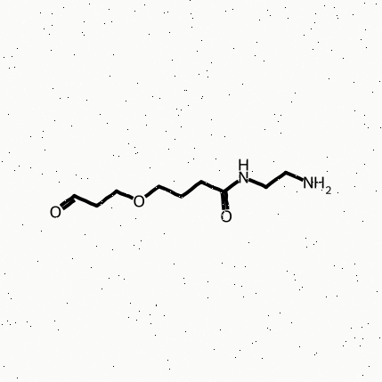 NCCNC(=O)CCCOCCC=O